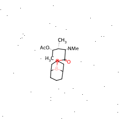 CN[C@H](C(=O)OB1C2CCCC1CCC2)[C@@H](C)[C@H](C)OC(C)=O